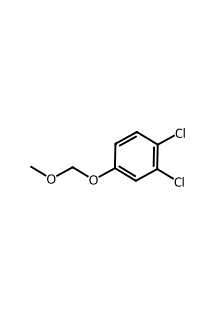 COCOc1ccc(Cl)c(Cl)c1